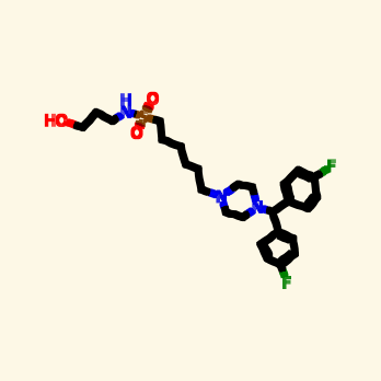 O=S(=O)(CCCCCCN1CCN(C(c2ccc(F)cc2)c2ccc(F)cc2)CC1)NCCCO